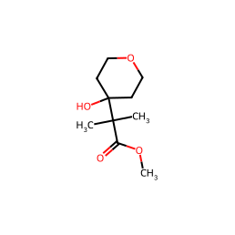 COC(=O)C(C)(C)C1(O)CCOCC1